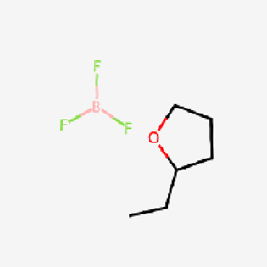 CCC1CCCO1.FB(F)F